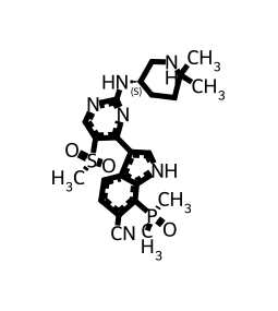 CC1(C)CC[C@H](Nc2ncc(S(C)(=O)=O)c(-c3c[nH]c4c(P(C)(C)=O)c(C#N)ccc34)n2)CN1